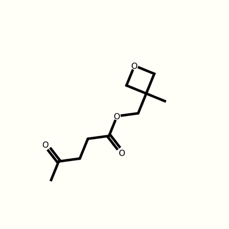 CC(=O)CCC(=O)OCC1(C)COC1